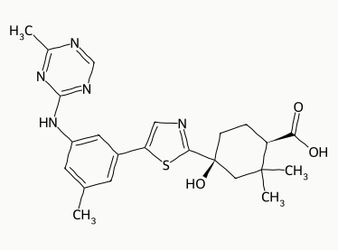 Cc1cc(Nc2ncnc(C)n2)cc(-c2cnc([C@]3(O)CC[C@@H](C(=O)O)C(C)(C)C3)s2)c1